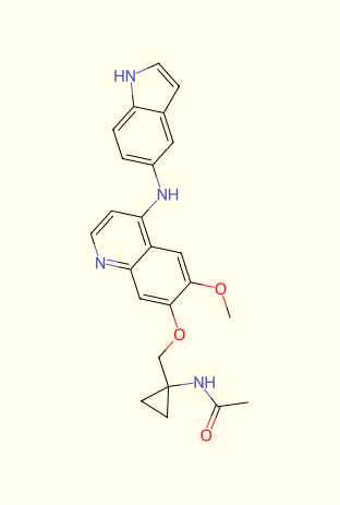 COc1cc2c(Nc3ccc4[nH]ccc4c3)ccnc2cc1OCC1(NC(C)=O)CC1